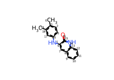 Cc1ccc(Nc2cc3ccccc3[nH]c2=O)cc1C